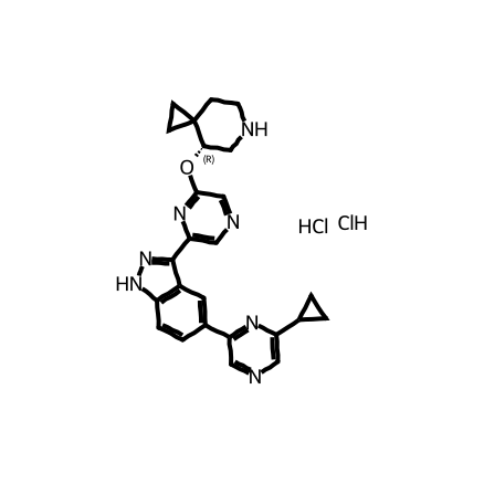 Cl.Cl.c1cc2[nH]nc(-c3cncc(O[C@H]4CNCCC45CC5)n3)c2cc1-c1cncc(C2CC2)n1